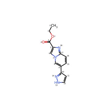 CCOC(=O)c1cn2cc(-c3cc[nH]n3)ccc2n1